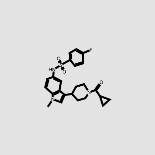 Cn1cc(C2CCN(C(=O)C3CC3)CC2)c2cc(NS(=O)(=O)c3ccc(F)cc3)ccc21